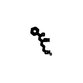 CCCCC(O)CC(=O)c1ccccc1